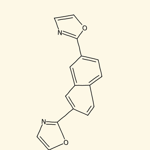 c1coc(-c2ccc3ccc(-c4ncco4)cc3c2)n1